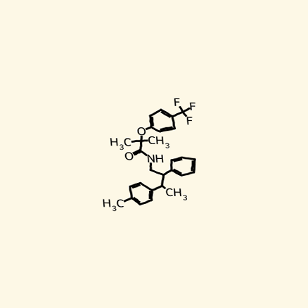 Cc1ccc(C(C)C(CNC(=O)C(C)(C)Oc2ccc(C(F)(F)F)cc2)c2ccccc2)cc1